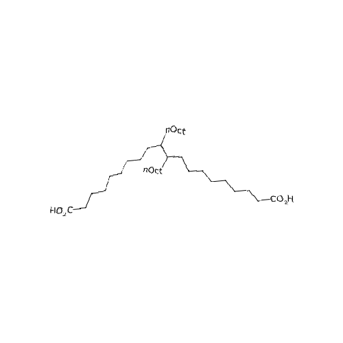 CCCCCCCCC(CCCCCCCCC(=O)O)C(CCCCCCCC)CCCCCCCCC(=O)O